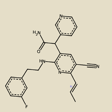 C/C=C/c1nc(NCCc2cccc(F)c2)c(C(C(N)=O)c2cccnc2)cc1C#N